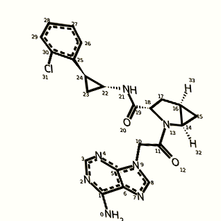 Nc1ncnc2c1ncn2CC(=O)N1[C@@H]2C[C@@H]2C[C@H]1C(=O)N[C@@H]1C[C@H]1c1ccccc1Cl